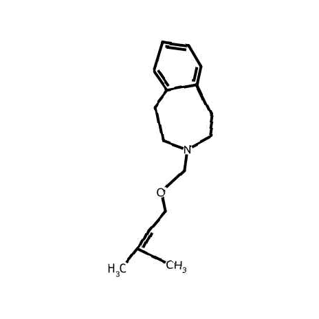 CC(C)=CCOCN1CCc2ccccc2CC1